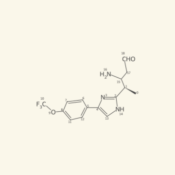 C[C@@H](c1nc(-c2ccc(OC(F)(F)F)cc2)c[nH]1)C(N)CC=O